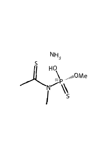 CO[P@](O)(=S)N(C)C(C)=S.N